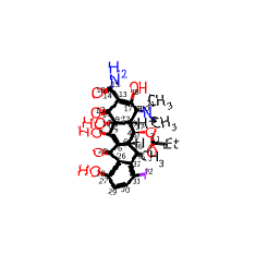 CCC(=O)O[C@H]1[C@H]2C(=C(O)[C@]3(O)C(=O)C(C(N)=O)=C(O)[C@@H](N(C)C)[C@H]13)C(=O)c1c(O)ccc(I)c1[C@@H]2C